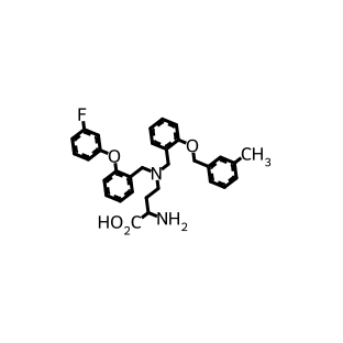 Cc1cccc(COc2ccccc2CN(CCC(N)C(=O)O)Cc2ccccc2Oc2cccc(F)c2)c1